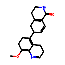 COC1=C2N=CCCC2=C(C2C=CC3=C(CCNC3=O)C2)CC1